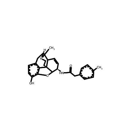 Cc1ccc(CC(=O)N[C@@H]2C=CC3[C@H]4Cc5ccc(O)c6c5[C@@]3(CCN4C)C2O6)cc1